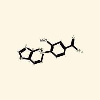 COc1cc(C(N)=O)ccc1N1C=Cc2[nH]cnc2N1